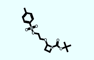 Cc1ccc(S(=O)(=O)OCCOC2CCN2C(=O)OC(C)(C)C)cc1